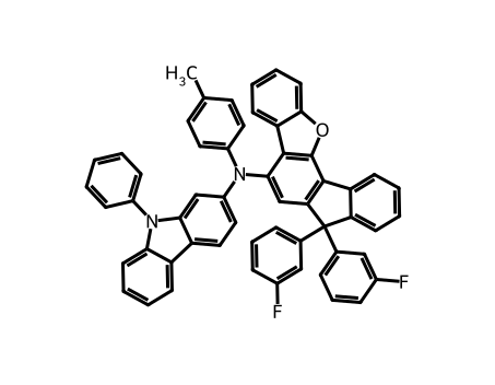 Cc1ccc(N(c2ccc3c4ccccc4n(-c4ccccc4)c3c2)c2cc3c(c4oc5ccccc5c24)-c2ccccc2C3(c2cccc(F)c2)c2cccc(F)c2)cc1